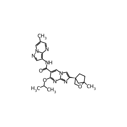 Cc1cnc2c(NC(=O)c3cn4cc([C@@]56CCC(C)(C5)OC6)nc4nc3OC(C)C)cnn2c1